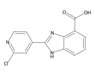 O=C(O)c1cccc2[nH]c(-c3ccnc(Cl)c3)nc12